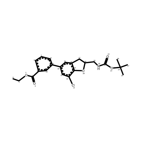 CCOC(=O)c1cccc(-c2cc(Cl)c3c(c2)CC(CNC(=O)OC(C)(C)C)O3)c1